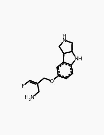 NC/C(=C\F)COc1ccc2c(c1)C1CNCC1N2